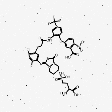 CP(=O)(O)CCC(N)C(=O)O.O=C(O)CSc1cc(N=c2sc(=O)n3n2CCCC3)c(F)cc1Cl.O=C(O)c1cc(Oc2ccc(C(F)(F)F)cc2Cl)ccc1[N+](=O)[O-]